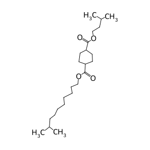 CC(C)CCCCCCCCOC(=O)C1CCC(C(=O)OCCC(C)C)CC1